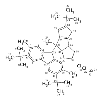 Cc1cc2c(cc1C(C)(C)C)-c1cc(C(C)(C)C)c(C)cc1C2C1(C)C2=C(CC(C(C)(C)C)=C2)C2CCCC21.[Cl-].[Cl-].[Zr+2]